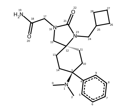 CN(C)[C@]1(c2ccccc2)CC[C@]2(CC1)CN(CC(N)=O)C(=O)N2CC1CCC1